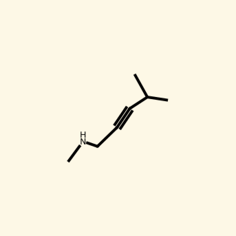 CNCC#CC(C)C